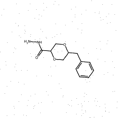 NNC(=O)C1COC(Cc2ccccc2)CO1